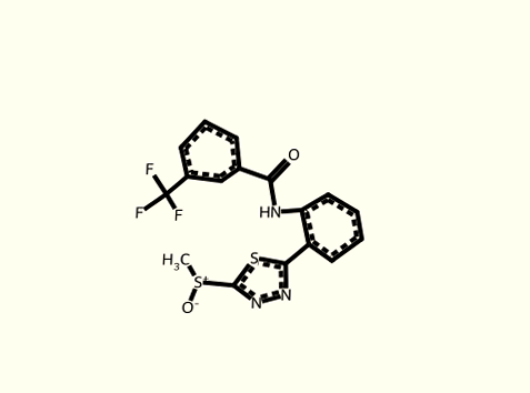 C[S+]([O-])c1nnc(-c2ccccc2NC(=O)c2cccc(C(F)(F)F)c2)s1